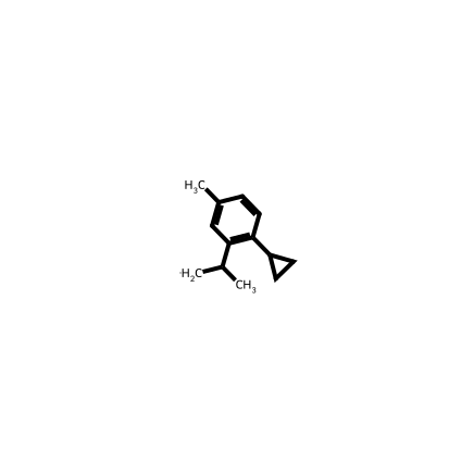 [CH2]C(C)c1cc(C)ccc1C1CC1